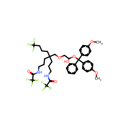 COc1ccc(C(OC(O)COCC(CCCNC(=O)C(F)(F)F)(CCCNC(=O)C(F)(F)F)CCCC(F)(F)F)(c2ccccc2)c2ccc(OC)cc2)cc1